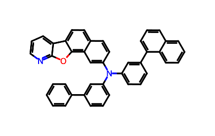 c1ccc(-c2cccc(N(c3cccc(-c4cccc5ccccc45)c3)c3ccc4ccc5c6cccnc6oc5c4c3)c2)cc1